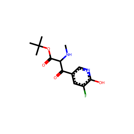 CNC(C(=O)OC(C)(C)C)C(=O)c1cnc(O)c(F)c1